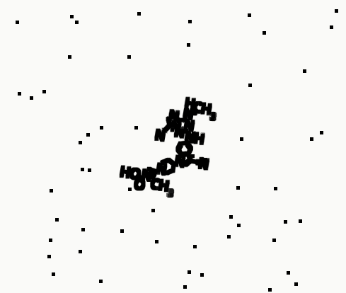 CCNc1nc(Nc2ccc3c(c2)c(C#N)cn3C2CCN(C3CN(C(=O)O)C3C)CC2)nn2c(C#N)cnc12